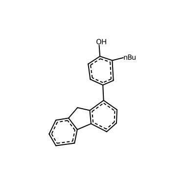 CCCCc1cc(-c2cccc3c2Cc2ccccc2-3)ccc1O